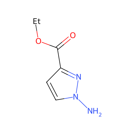 CCOC(=O)c1ccn(N)n1